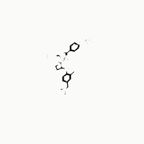 COc1ccc(C2=NN(N3CCC3Oc3ccc(CN(C)C)cc3C)C(C=O)O2)cc1